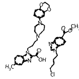 COC(=O)c1ccc2c(c1)ncn2CCCCCl.Cc1ccc2c(c1)nc(C(=O)O)n2CCCCN1CCN(c2ccc3c(c2)OCCO3)CC1